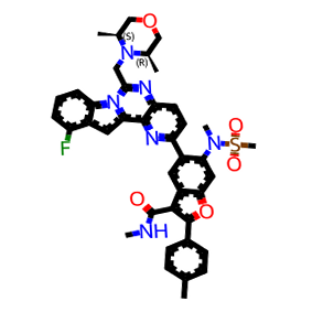 CNC(=O)c1c(-c2ccc(C)cc2)oc2cc(N(C)S(C)(=O)=O)c(-c3ccc4nc(CN5[C@H](C)COC[C@@H]5C)n5c6cccc(F)c6cc5c4n3)cc12